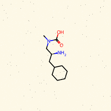 CN(C[C@@H](N)CC1CCCCC1)C(=O)O